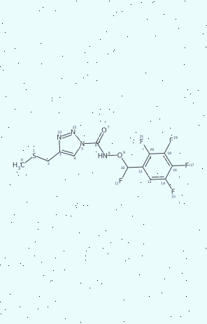 CSCc1cn(C(=O)NOC(F)c2cc(F)c(F)c(F)c2F)nn1